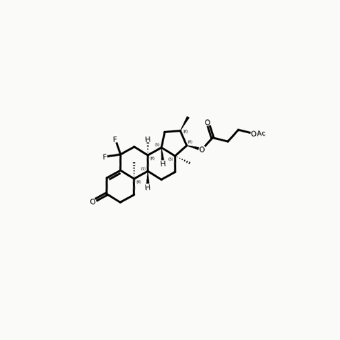 CC(=O)OCCC(=O)O[C@@H]1[C@H](C)C[C@H]2[C@@H]3CC(F)(F)C4=CC(=O)CC[C@]4(C)[C@H]3CC[C@]12C